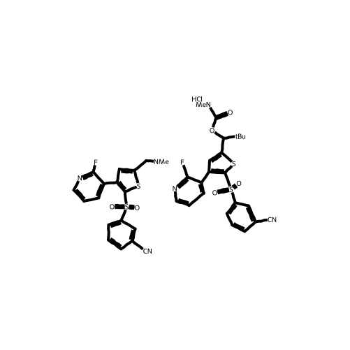 CNC(=O)OC(c1cc(-c2cccnc2F)c(S(=O)(=O)c2cccc(C#N)c2)s1)C(C)(C)C.CNCc1cc(-c2cccnc2F)c(S(=O)(=O)c2cccc(C#N)c2)s1.Cl